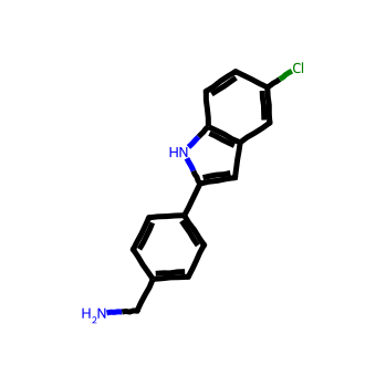 NCc1ccc(-c2cc3cc(Cl)ccc3[nH]2)cc1